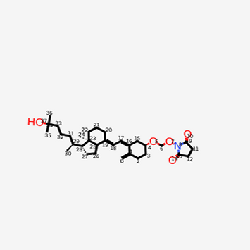 C=C1CC[C@H](OCON2C(=O)CCC2=O)C/C1=C/C=C1\CCC[C@@]2(C)C1CC[C@@H]2[C@@H](C)CCCC(C)(C)O